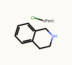 CCCCCCl.c1ccc2c(c1)CCNC2